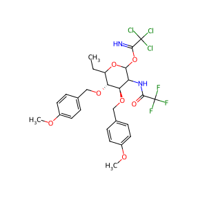 CCC1OC(OC(=N)C(Cl)(Cl)Cl)C(NC(=O)C(F)(F)F)[C@@H](OCc2ccc(OC)cc2)[C@@H]1OCc1ccc(OC)cc1